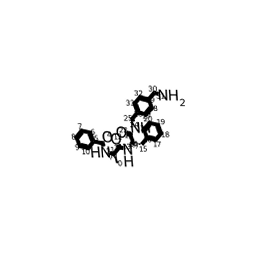 C[C@@H](NC(=O)c1ccccc1)C(=O)N[C@@H](Cc1ccccc1)C(=O)NCc1ccc(CN)cc1